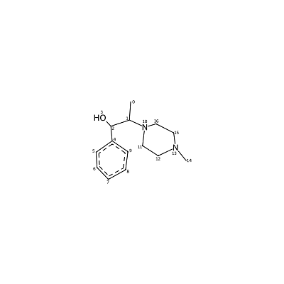 CC(C(O)c1ccccc1)N1CCN(C)CC1